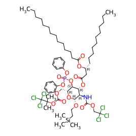 CCCCCCCCCCCCCC(=O)O[C@H](CCCCCCCCCCC)CC(=O)O[C@@H]1[C@@H](NC(=O)OCC(Cl)(Cl)Cl)[C@H](OCC[Si](C)(C)C)O[C@H](COC(=O)OC(C)(C)C(Cl)(Cl)Cl)[C@H]1OP(=O)(Oc1ccccc1)Oc1ccccc1